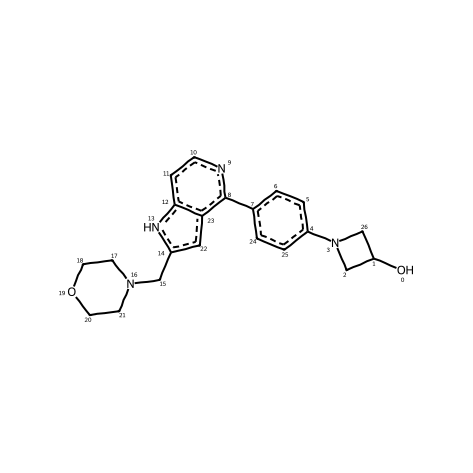 OC1CN(c2ccc(-c3nccc4[nH]c(CN5CCOCC5)cc34)cc2)C1